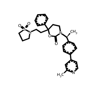 Cc1cc(-c2ccc([C@H](C)N3CCC(CCN4CCCS4(=O)=O)(c4ccccc4)OC3=O)cc2)ccn1